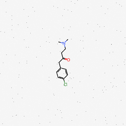 CN(C)CCC(=O)Cc1ccc(Cl)cc1